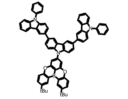 CC(C)(C)c1ccc2c(c1)B1c3cc(C(C)(C)C)ccc3Oc3cc(-n4c5ccc(-c6ccc7c(c6)c6ccccc6n7-c6ccccc6)cc5c5cc(-c6ccc7c(c6)c6ccccc6n7-c6ccccc6)ccc54)cc(c31)O2